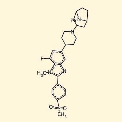 CC(C)N1C2CCC1CC(N1CCC(c3cc(F)c4c(c3)nc(-c3ccc(S(C)(=O)=O)cc3)n4C)CC1)C2